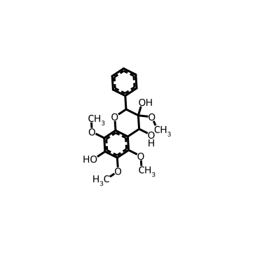 COc1c(O)c(OC)c2c(c1OC)C(O)C(O)(OC)C(c1ccccc1)O2